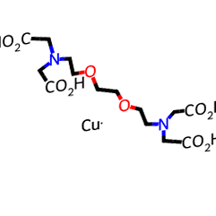 O=C(O)CN(CCOCCOCCN(CC(=O)O)CC(=O)O)CC(=O)O.[Cu]